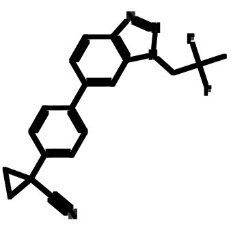 CC(F)(F)Cn1nnc2ccc(-c3ccc(C4(C#N)CC4)cc3)cc21